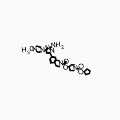 CN1CCN(c2cc(-c3ccc4c(c3)CN(C(=O)OC3CCN(C(=O)OC5CCCC5)CC3)CC4)nc(N)n2)CC1